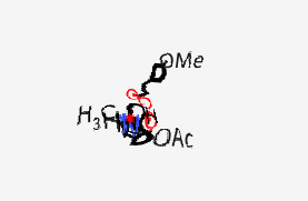 COc1ccc(CCC(=O)O[C@H]2C=C[C@H]3[C@H]4Cc5ccc(OC(C)=O)c6c5[C@@]3(CCN4C)[C@H]2O6)cc1